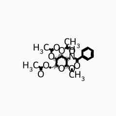 CO[C@H]1O[C@H](COC(C)=O)[C@@H](OC(C)=O)[C@H](OC(C)=O)[C@H]1NC(=O)c1ccccc1